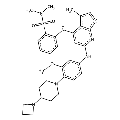 COc1cc(Nc2nc(Nc3ccccc3S(=O)(=O)N(C)C)c3c(C)csc3n2)ccc1N1CCC(N2CCC2)CC1